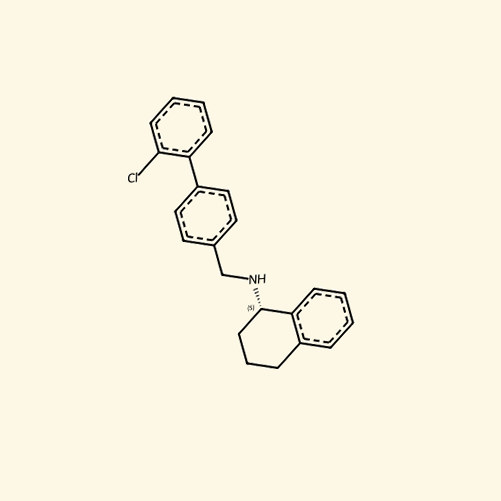 Clc1ccccc1-c1ccc(CN[C@H]2CCCc3ccccc32)cc1